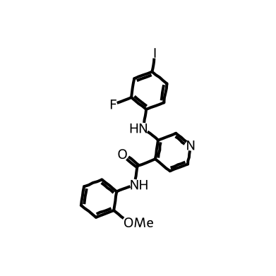 COc1ccccc1NC(=O)c1ccncc1Nc1ccc(I)cc1F